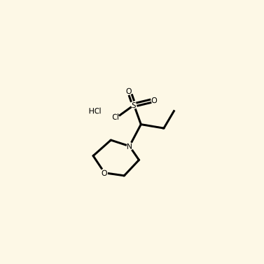 CCC(N1CCOCC1)S(=O)(=O)Cl.Cl